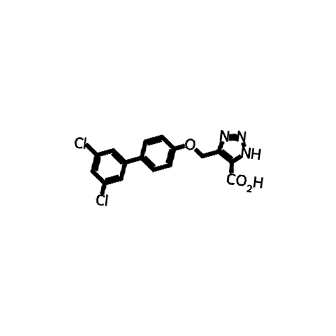 O=C(O)c1[nH]nnc1COc1ccc(-c2cc(Cl)cc(Cl)c2)cc1